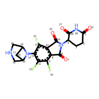 O=C1CCC(N2C(=O)c3c(F)c(F)c(N4C5CNCC4C5)c(F)c3C2=O)C(=O)N1